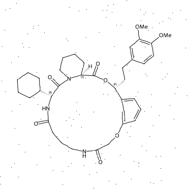 COc1ccc(CC[C@H]2OC(=O)[C@@H]3CCCCN3C(=O)[C@@H](C3CCCCC3)NC(=O)CCCNC(=O)COc3cccc2c3)cc1OC